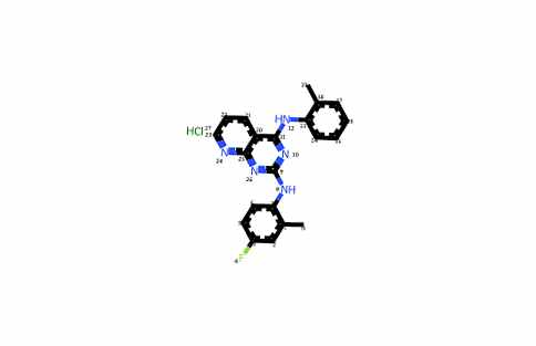 Cc1cc(F)ccc1Nc1nc(Nc2ccccc2C)c2cccnc2n1.Cl